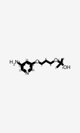 CC(C)(O)OCCCOc1cncc(N)c1